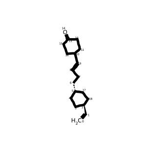 C=C[C@H]1CC[C@H](CCC=CC2CCC(=O)CC2)CC1